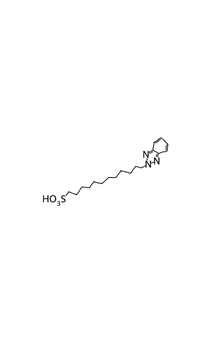 O=S(=O)(O)CCCCCCCCCCCCn1nc2ccccc2n1